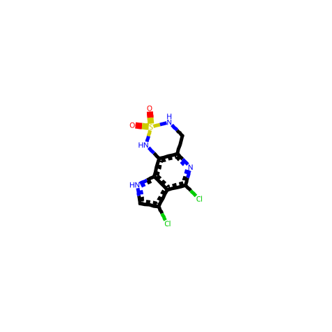 O=S1(=O)NCc2nc(Cl)c3c(Cl)c[nH]c3c2N1